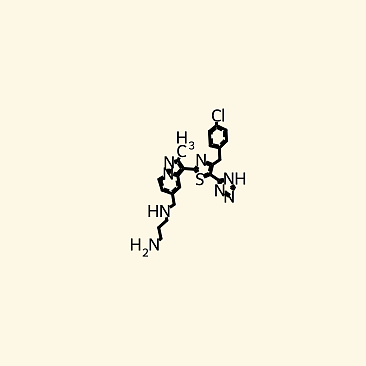 Cc1nn2ccc(CNCCCN)cc2c1-c1nc(Cc2ccc(Cl)cc2)c(-c2nnc[nH]2)s1